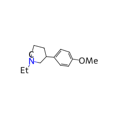 CCN1CCCC(c2ccc(OC)cc2)C1